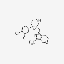 FC(F)(F)c1nn(CC23CNCCC2(c2ccc(Cl)c(Cl)c2)C3)c2c1COCC2